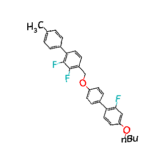 CCCCOc1ccc(-c2ccc(OCc3ccc(-c4ccc(C)cc4)c(F)c3F)cc2)c(F)c1